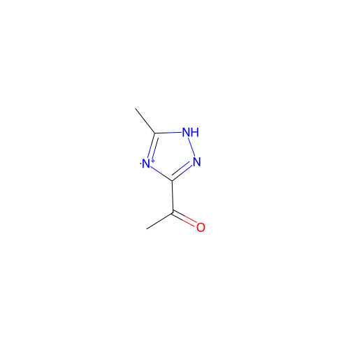 CC(=O)C1=NNC(C)=[N+]1